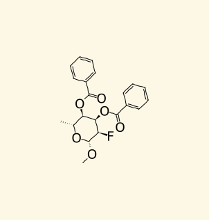 CO[C@@H]1O[C@H](C)[C@@H](OC(=O)c2ccccc2)[C@@H](OC(=O)c2ccccc2)[C@H]1F